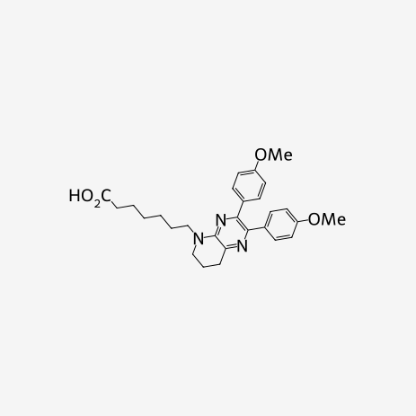 COc1ccc(-c2nc3c(nc2-c2ccc(OC)cc2)N(CCCCCCC(=O)O)CCC3)cc1